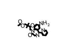 CC(=O)OCC(C)(C)C(=O)CN1C(=O)CN=C(c2ccccn2)c2cc(N)ccc21